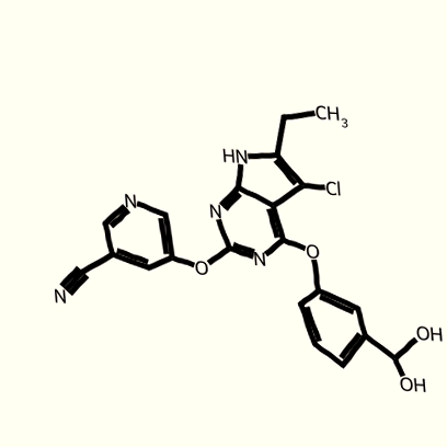 CCc1[nH]c2nc(Oc3cncc(C#N)c3)nc(Oc3cccc(C(O)O)c3)c2c1Cl